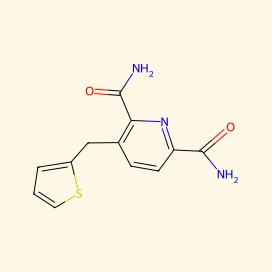 NC(=O)c1ccc(Cc2cccs2)c(C(N)=O)n1